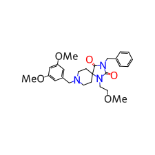 COCCN1C(=O)N(Cc2ccccc2)C(=O)C12CCN(Cc1cc(OC)cc(OC)c1)CC2